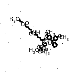 CCCCOC(=O)CCCCC(=O)NCCCCCC(=O)N1C[C@H](O[Si](C)(C)C(C)(C)C)C[C@H]1COC(c1ccccc1)(c1ccc(OC)cc1)c1ccc(OC)cc1